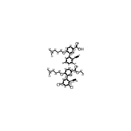 C#Cc1c(C)cc(C)cc1-c1nc(C(=O)O)ccc1OCCCN(C)C.C#Cc1c(Cl)cc(Cl)cc1-c1nc(C(=O)OCC)ccc1OCCCN(C)C